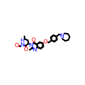 CCCC(C(=O)NC=O)n1c(C)nc2ccc(OCc3ccc(CN4CCCCCC4)cc3)cc2c1=O